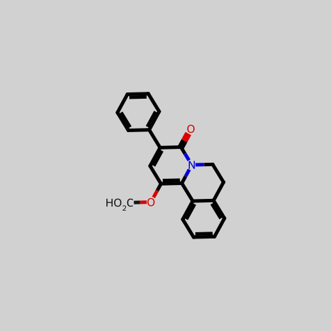 O=C(O)Oc1cc(-c2ccccc2)c(=O)n2c1-c1ccccc1CC2